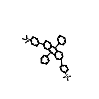 C[Si](C)(C)c1ccc(-c2ccc3c(-c4ccccc4)c4ccc(-c5ccc([Si](C)(C)C)cc5)cc4c(-c4ccccc4)c3c2)cc1